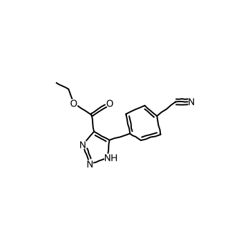 CCOC(=O)c1nn[nH]c1-c1ccc(C#N)cc1